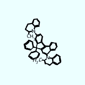 CC1CCc2ccccc2N1c1ccc2c(c1)C(c1ccccc1)(c1ccccc1)c1cc(N3c4ccccc4CCC3C)c3ccccc3c1-2